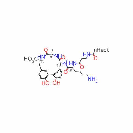 CCCCCCCC(=O)NCCC(=O)N[C@@H](CCCCN)C(=O)N(C)[C@@H]1C(=O)N[C@@H](C)C(=O)N[C@H](C(=O)O)Cc2ccc(O)c(c2)-c2cc1ccc2O